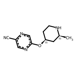 C[C@H]1C[C@@H](Oc2cnc(C#N)cn2)CCN1